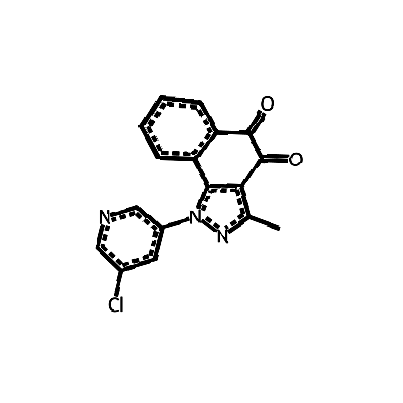 Cc1nn(-c2cncc(Cl)c2)c2c1C(=O)C(=O)c1ccccc1-2